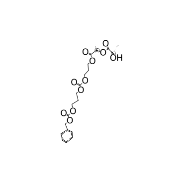 C[C@H](O)C(=O)O[C@@H](C)C(=O)OCCCOC(=O)OCCCOC(=O)OCc1ccccc1